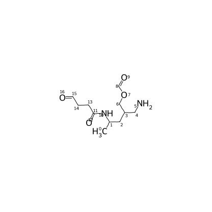 CC(CC(CN)COC=O)NC(=O)CCC=O